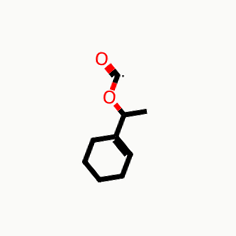 CC(O[C]=O)C1=CCCCC1